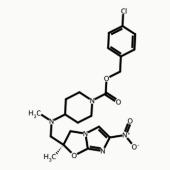 CN(C[C@@]1(C)Cn2cc([N+](=O)[O-])nc2O1)C1CCN(C(=O)OCc2ccc(Cl)cc2)CC1